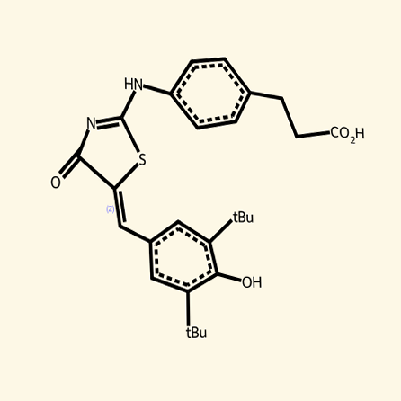 CC(C)(C)c1cc(/C=C2\SC(Nc3ccc(CCC(=O)O)cc3)=NC2=O)cc(C(C)(C)C)c1O